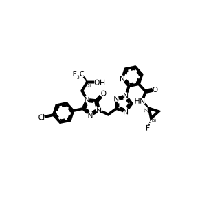 O=C(N[C@H]1C[C@@H]1F)c1cccnc1-n1cnc(Cn2nc(-c3ccc(Cl)cc3)n(C[C@H](O)C(F)(F)F)c2=O)n1